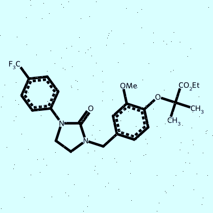 CCOC(=O)C(C)(C)Oc1ccc(CN2CCN(c3ccc(C(F)(F)F)cc3)C2=O)cc1OC